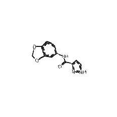 O=C(Nc1ccc2c(c1)OCO2)c1cc[nH]n1